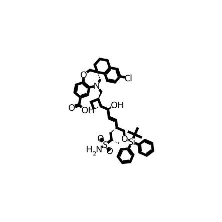 C[C@@H](C[C@H](/C=C/[C@H](O)[C@@H]1CC[C@H]1CN1C[C@@]2(CCCc3cc(Cl)ccc32)COc2ccc(C(=O)O)cc21)CO[Si](c1ccccc1)(c1ccccc1)C(C)(C)C)S(N)(=O)=O